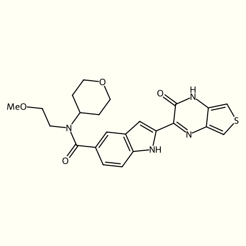 COCCN(C(=O)c1ccc2[nH]c(-c3nc4cscc4[nH]c3=O)cc2c1)C1CCOCC1